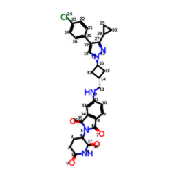 O=C1CCC(N2C(=O)c3ccc(NC[C@H]4C[C@H](n5cc(-c6ccc(Cl)cc6)c(C6CC6)n5)C4)cc3C2=O)C(=O)N1